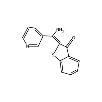 NC(=C1Sc2ccccc2C1=O)c1cccnc1